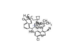 CCC1(N(N)/C=C(\N)C(Nc2cc(Cl)c3ncc(C#N)c(NCC(C)(C)C)c3c2)c2cccc3c(=O)n(C)ccc23)CCC1